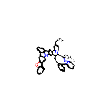 C=C1CC2C(CCc3ccccc3-c3cccc[n+]31)c1cc3c(cc1-c1cc(CC(C)C)cc[n+]12)c1cccc2c4cc5oc6ccccc6c5cc4n3c12